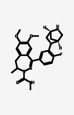 CNC(=O)N1N=C(c2ccc(F)c(N3C[C@@H]4C[C@H]3CN4)c2)c2cc(OC)c(OC)cc2CC1C